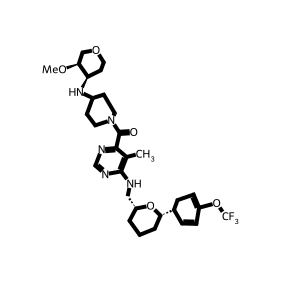 CO[C@H]1COCC[C@H]1NC1CCN(C(=O)c2ncnc(NC[C@H]3CCC[C@@H](C4C=CC(OC(F)(F)F)=CC4)O3)c2C)CC1